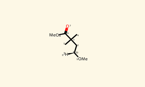 [2H][C@@H](CC(C)(C)C(=O)OC)OC